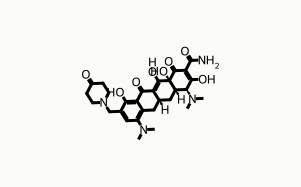 CN(C)c1cc(CN2CCC(=O)CC2)c(O)c2c1C[C@H]1C[C@H]3[C@H](N(C)C)C(O)=C(C(N)=O)C(=O)[C@@]3(O)C(O)=C1C2=O